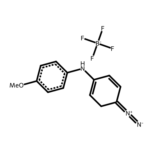 COc1ccc(NC2=CCC(=[N+]=[N-])C=C2)cc1.F[B-](F)(F)F